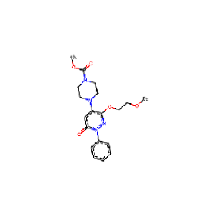 CCOCCOc1nn(-c2ccccc2)c(=O)cc1N1CCN(C(=O)OC(C)(C)C)CC1